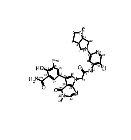 CN1CCC2CN(c3cc(NC(=O)Cn4cc(-c5cc(F)c(O)c(C(N)=O)c5)c5c(=O)n(C)cnc54)c(Cl)cn3)CC21